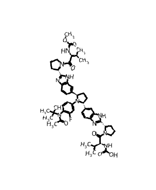 COC(=O)N[C@H](C(=O)N1CCC[C@H]1c1nc2ccc([C@H]3CC[C@H](c4ccc5nc([C@@H]6CCCN6C(=O)[C@@H](NC(=O)O)C(C)C)[nH]c5c4)N3c3ccc(N(C(C)=O)C(C)(C)C)c(F)c3)cc2[nH]1)C(C)C